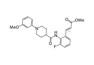 COC(=O)/C=C/c1cccc(F)c1NC(=O)C1CCN(c2cccc(OC)c2)CC1